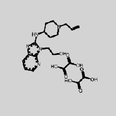 C=CCN1CCC(Nc2nc3cccnc3n2CCO)CC1.O=C(O)C(=O)O.O=C(O)C(=O)O